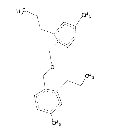 CCCc1cc(C)ccc1COCc1ccc(C)cc1CCC